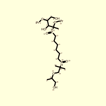 CC(C)OC(CO)C(O)C(C)(OC(C)C)[PH](=O)CCCCCC[PH](=O)C(C)(C)COC(C)CO